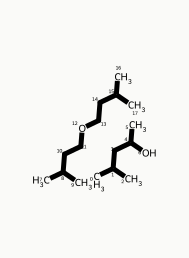 CC(C)CC(C)O.CC(C)CCOCCC(C)C